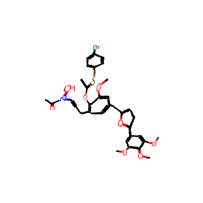 COc1cc(C2CCC(c3cc(OC)c(OC)c(OC)c3)O2)cc(CC#CN(O)C(C)=O)c1OC(C)Sc1ccc(Br)cc1